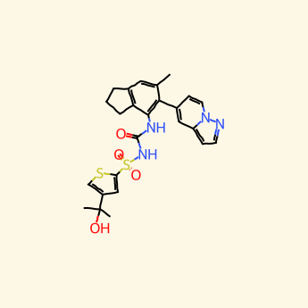 Cc1cc2c(c(NC(=O)NS(=O)(=O)c3cc(C(C)(C)O)cs3)c1-c1ccn3nccc3c1)CCC2